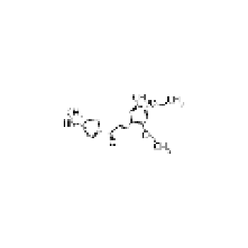 CCOc1cc(OCC)c(C=CC(=O)c2ccc(NC)cc2)cc1C